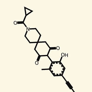 CC#Cc1cc(C)c(C2C(=O)CC3(CCN(C(=O)C4CC4)CC3)CC2=O)c(O)c1